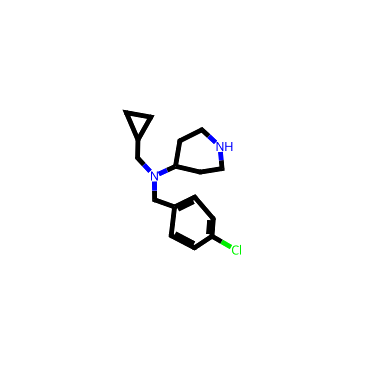 Clc1ccc(CN(CC2CC2)C2CCNCC2)cc1